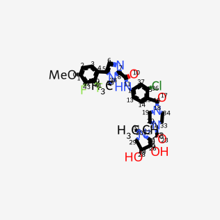 COc1ccc(-c2cnc(C(=O)Nc3ccc(C(=O)N4CCN(C(=O)[C@@H]5[C@@H](O)[C@@H](O)C[N+]5(C)C)CC4)c(Cl)c3)n2C)c(F)c1F